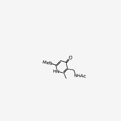 CNc1cc(=O)c(CNC(C)=O)c(C)[nH]1